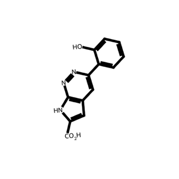 O=C(O)c1cc2cc(-c3ccccc3O)nnc2[nH]1